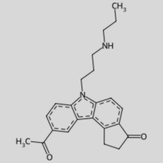 CCCNCCCn1c2ccc(C(C)=O)cc2c2c3c(ccc21)C(=O)CC3